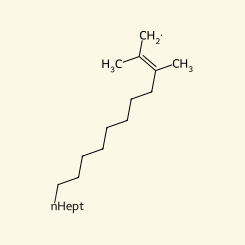 [CH2]C(C)=C(C)CCCCCCCCCCCCCCC